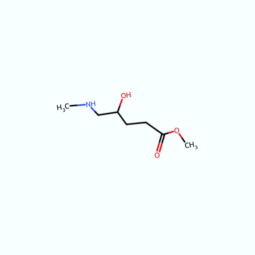 CNCC(O)CCC(=O)OC